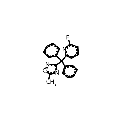 Cc1nc(C(c2ccccc2)(c2ccccc2)c2cccc(F)n2)no1